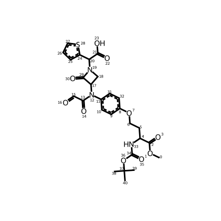 COC(=O)C(CCOc1ccc(N(C(=O)C=O)C2CN(C(C(=O)O)c3cccs3)C2=O)cc1)NC(=O)OC(C)(C)C